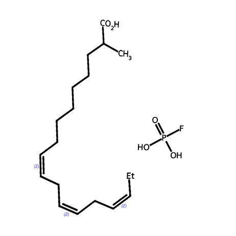 CC/C=C\C/C=C\C/C=C\CCCCCCC(C)C(=O)O.O=P(O)(O)F